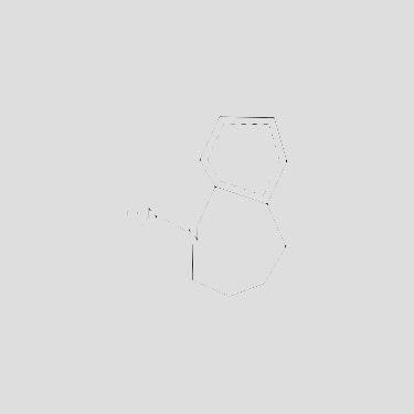 O=[N+]([O-])N1CCCCc2ccccc21